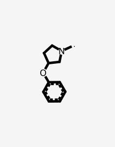 [CH2]N1CCC(Oc2ccccc2)C1